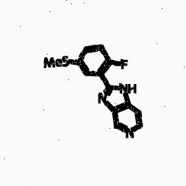 CSc1ccc(F)c(-c2nc3cnccc3[nH]2)c1